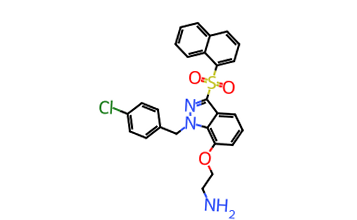 NCCOc1cccc2c(S(=O)(=O)c3cccc4ccccc34)nn(Cc3ccc(Cl)cc3)c12